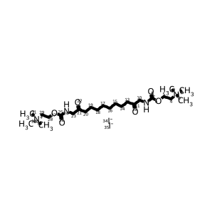 C[N+](C)(C)CCOC(=O)NCC(=O)CCCCCCCCC(=O)CNC(=O)OCC[N+](C)(C)C.[I-].[I-]